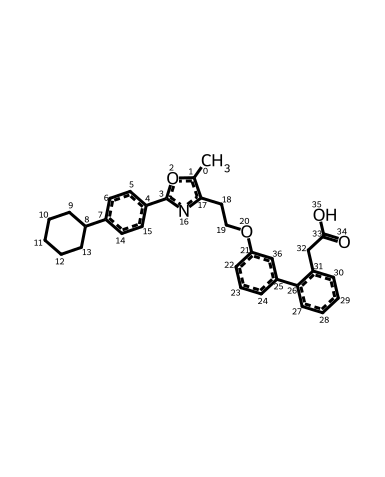 Cc1oc(-c2ccc(C3CCCCC3)cc2)nc1CCOc1cccc(-c2ccccc2CC(=O)O)c1